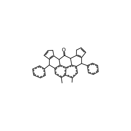 Cc1cc2c3c4c5c(cc(C)c14)C(c1ccccc1)C1=C(CC=C1)C5C(=O)C3C1=C(C=CC1)C2c1ccccc1